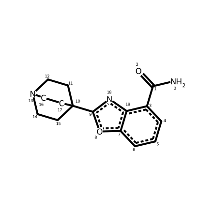 NC(=O)c1cccc2oc(C34CCN(CC3)CC4)nc12